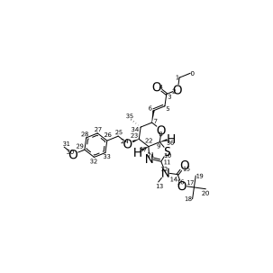 CCOC(=O)/C=C/[C@H]1O[C@@H]2SC(N(C)C(=O)OC(C)(C)C)=N[C@@H]2[C@@H](OCc2ccc(OC)cc2)[C@@H]1C